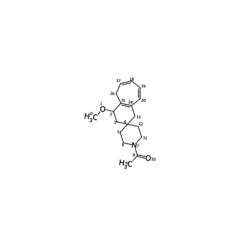 COC1CC2(CCN(C(C)=O)CC2)CC2=C1CC=CC=C2